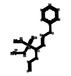 C=CCN(C=NSc1ccccc1)P(=S)(OC)SCCC